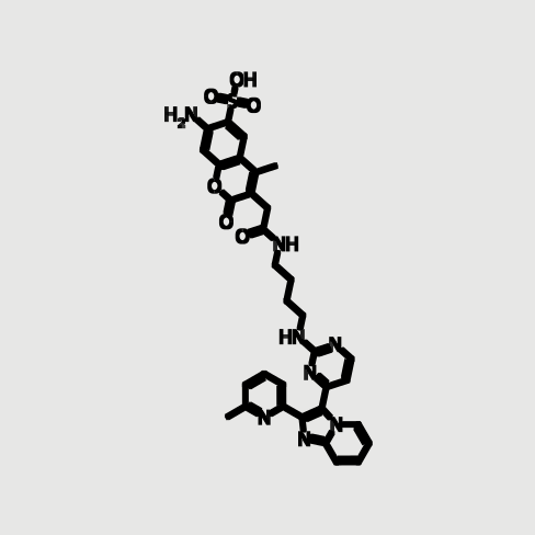 Cc1cccc(-c2nc3ccccn3c2-c2ccnc(NCCCCNC(=O)Cc3c(C)c4cc(S(=O)(=O)O)c(N)cc4oc3=O)n2)n1